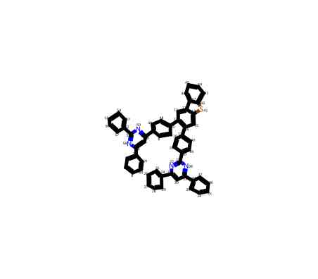 c1ccc(-c2cc(-c3ccc(-c4cc5c(cc4-c4ccc(-c6nc(-c7ccccc7)cc(-c7ccccc7)n6)cc4)sc4ccccc45)cc3)nc(-c3ccccc3)n2)cc1